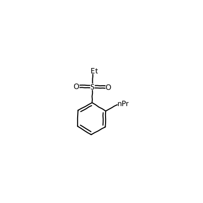 CCCc1ccccc1S(=O)(=O)CC